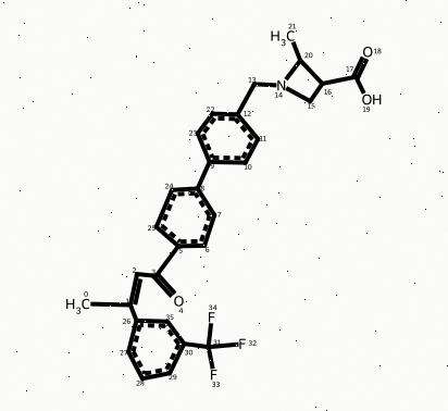 CC(=CC(=O)c1ccc(-c2ccc(CN3CC(C(=O)O)C3C)cc2)cc1)c1cccc(C(F)(F)F)c1